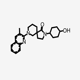 Cc1cc2ccccc2nc1N1CCCC2(CCN(C3CCC(O)CC3)C2=O)C1